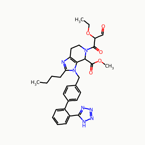 CCCCc1nc2c(n1Cc1ccc(-c3ccccc3-c3nnn[nH]3)cc1)C(C(=O)OC)N(C(=O)C(C=O)OCC)CC2